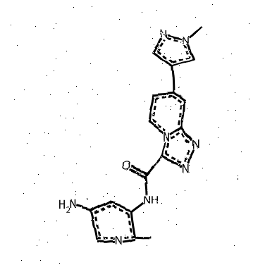 Cc1ncc(N)cc1NC(=O)c1nnc2cc(-c3cnn(C)c3)ccn12